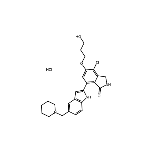 Cl.O=C1NCc2c(Cl)c(OCCCO)cc(-c3cc4cc(CN5CCCCC5)ccc4[nH]3)c21